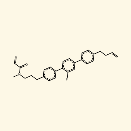 C=CCCc1ccc(-c2ccc(-c3ccc(CCCN(C)C(=O)C=C)cc3)c(F)c2)cc1